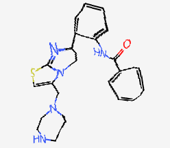 O=C(Nc1ccccc1C1CN2C(CN3CCNCC3)=CSC2=N1)c1ccccc1